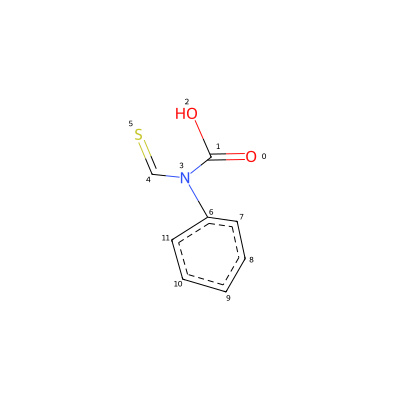 O=C(O)N(C=S)c1ccccc1